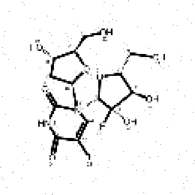 O=C1NC(=O)[N+]([C@@H]2O[C@H](CO)[C@@H](O)[C@@]2(O)F)([C@H]2C[C@H](O)[C@@H](CO)O2)C=C1I